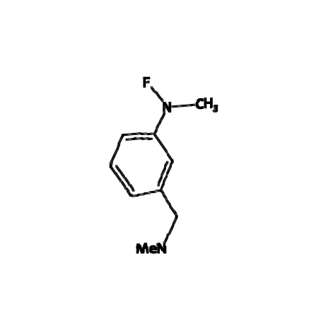 CNCc1cccc(N(C)F)c1